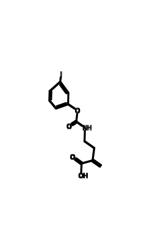 C=C(CCNC(=O)Oc1cccc(I)c1)C(=O)O